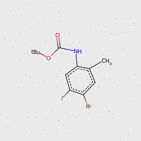 Cc1cc(Br)c(I)cc1NC(=O)OC(C)(C)C